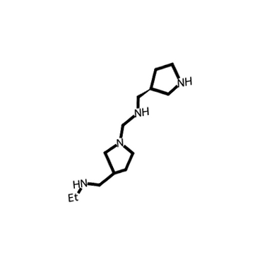 CCNCC1CCN(CNC[C@H]2CCNC2)C1